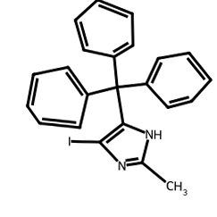 Cc1nc(I)c(C(c2ccccc2)(c2ccccc2)c2ccccc2)[nH]1